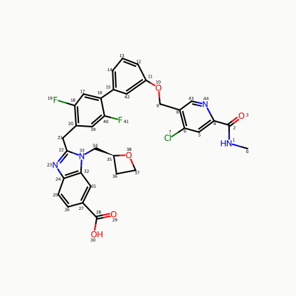 CNC(=O)c1cc(Cl)c(COc2cccc(-c3cc(F)c(Cc4nc5ccc(C(=O)O)cc5n4C[C@@H]4CCO4)cc3F)c2)cn1